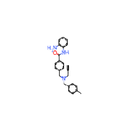 C#CCN(Cc1ccc(C)cc1)Cc1ccc(C(=O)Nc2ccccc2N)cc1